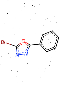 Brc1nnc(-c2ccccc2)o1